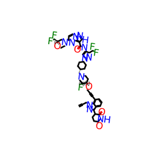 C#CCn1nc(C2CCC(=O)NC2=O)c2cccc(C#CCO[C@H]3CCN(C[C@H]4CC[C@H](n5cc(NC(=O)c6cnn7ccc(N8CCO[C@@H](C(F)F)C8)nc67)c(C(F)F)n5)CC4)C[C@H]3F)c21